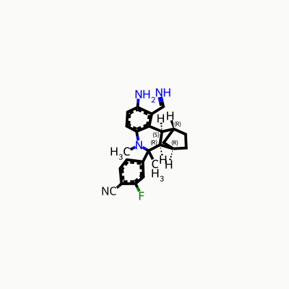 CN1c2ccc(N)c(C=N)c2[C@H]2[C@@H]3CC[C@H](C3)[C@H]2C1(C)c1ccc(C#N)c(F)c1